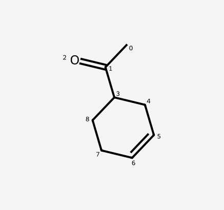 CC(=O)C1CC=CCC1